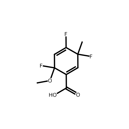 COC1(F)C=C(F)C(C)(F)C=C1C(=O)O